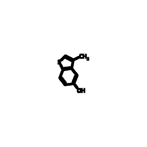 Cc1csc2ccc(O)cc12